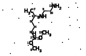 CO[SiH](CCCC(C)NCCN)OC